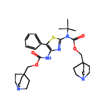 CC(C)(C)N(C(=O)OCC12CCN(CC1)CC2)c1nc(NC(=O)OCC23CCN(CC2)CC3)c(-c2ccccc2)s1